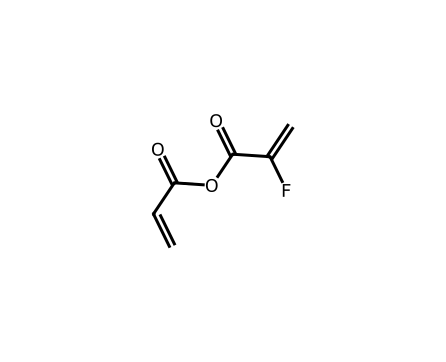 C=CC(=O)OC(=O)C(=C)F